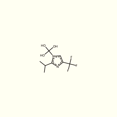 CC(C)c1nc(C(F)(F)F)cn1C(O)(O)O